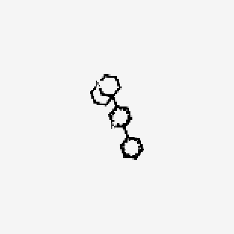 c1ccc(-c2ccc(C34CCCN(CCC3)C4)cn2)cc1